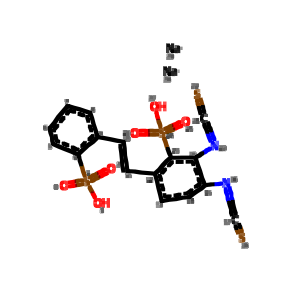 O=S(=O)(O)c1ccccc1C=Cc1ccc(N=C=S)c(N=C=S)c1S(=O)(=O)O.[Na].[Na]